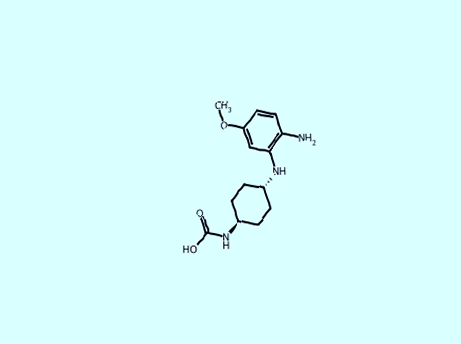 COc1ccc(N)c(N[C@H]2CC[C@H](NC(=O)O)CC2)c1